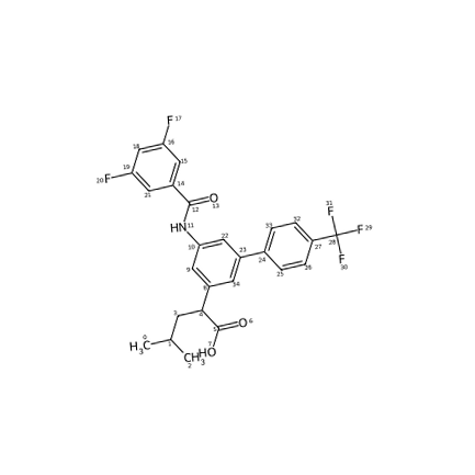 CC(C)CC(C(=O)O)c1cc(NC(=O)c2cc(F)cc(F)c2)cc(-c2ccc(C(F)(F)F)cc2)c1